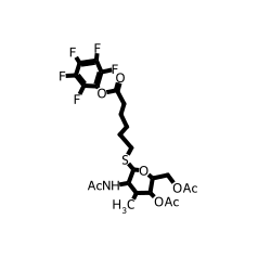 CC(=O)NC1C(SCCCCCC(=O)Oc2c(F)c(F)c(F)c(F)c2F)OC(COC(C)=O)C(OC(C)=O)C1C